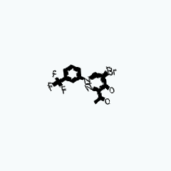 CC(=O)c1nn(-c2cccc(C(F)(F)F)c2)cc(Br)c1=O